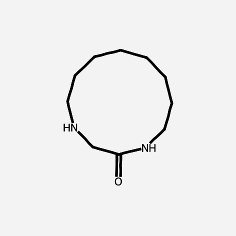 O=C1CNCCCCCCCCN1